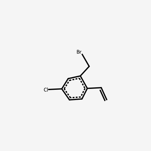 C=Cc1ccc(Cl)cc1CBr